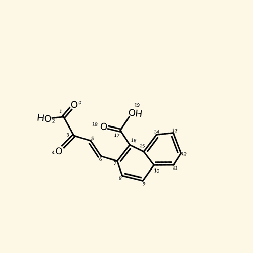 O=C(O)C(=O)C=Cc1ccc2ccccc2c1C(=O)O